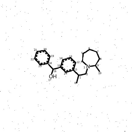 CC(CN1CCCCCC1C)c1cccc(C(O)c2ccccc2)c1